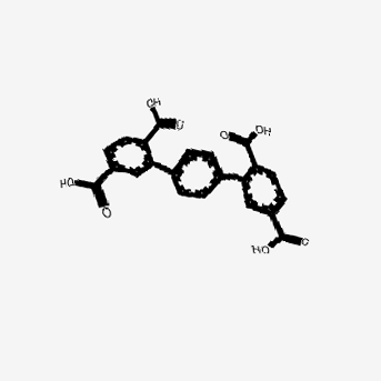 O=C(O)c1ccc(C(=O)O)c(-c2ccc(-c3cc(C(=O)O)ccc3C(=O)O)cc2)c1